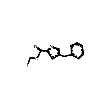 O=C(OCI)c1cc(Cc2ccccc2)c[nH]1